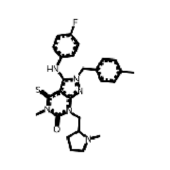 Cc1ccc(Cn2nc3c(c2Nc2ccc(F)cc2)c(=S)n(C)c(=O)n3CC2CCCN2C)cc1